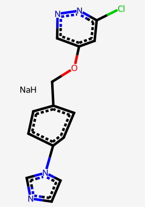 Clc1cc(OCc2ccc(-n3ccnc3)cc2)cnn1.[NaH]